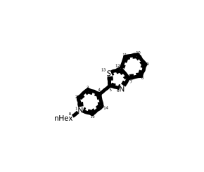 CCCCCC[n+]1ccc(-c2nc3ccccc3s2)cc1